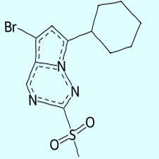 CS(=O)(=O)c1ncc2c(Br)cc(C3CCCCC3)n2n1